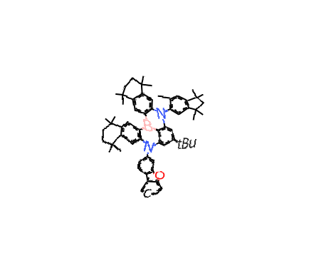 Cc1cc2c(cc1N1c3cc4c(cc3B3c5cc6c(cc5N(c5ccc7c(c5)oc5ccccc57)c5cc(C(C)(C)C)cc1c53)C(C)(C)CCC6(C)C)C(C)(C)CCC4(C)C)C(C)(C)CC2(C)C